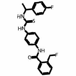 CC(NC(=S)Nc1ccc(NC(=O)c2ccccc2CF)cc1)c1ccc(F)cc1